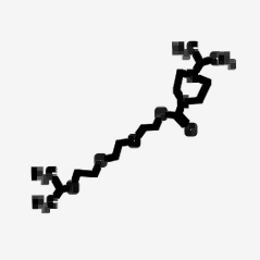 CC(C)OCCOCCOCCOC(=O)N1CCN(C(C)C)CC1